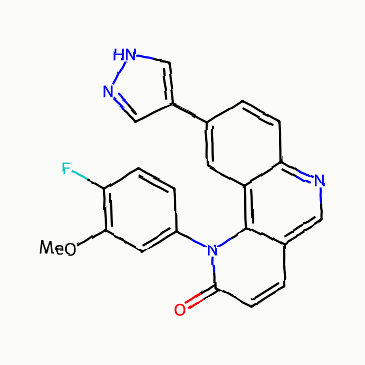 COc1cc(-n2c(=O)ccc3cnc4ccc(-c5cn[nH]c5)cc4c32)ccc1F